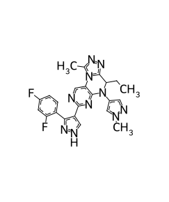 CCC1c2nnc(C)n2-c2cnc(-c3c[nH]nc3-c3ccc(F)cc3F)nc2N1c1cnn(C)c1